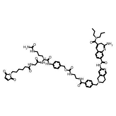 CCCN(CCC)C(=O)C1=Cc2ccc(C(=O)Nc3cc4c(cn3)CCN(Cc3ccc(C(=O)NCCNC(=O)OCc5ccc(NC(=O)[C@H](CCCNC(N)=O)NC(=O)CNC(=O)CCCCCN6C(=O)C=CC6=O)cc5)cc3)C4)cc2N=C(N)C1